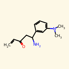 C=CC(=O)CC(N)c1cccc(N(C)C)c1